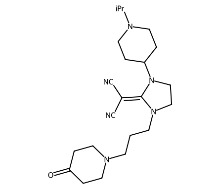 CC(C)N1CCC(N2CCN(CCCN3CCC(=O)CC3)C2=C(C#N)C#N)CC1